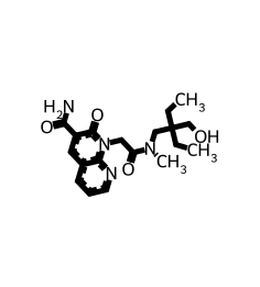 CCC(CC)(CO)CN(C)C(=O)Cn1c(=O)c(C(N)=O)cc2cccnc21